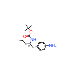 CCC[C@H](Cc1ccc(N)cc1)NC(=O)OC(C)(C)C